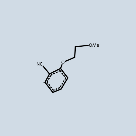 COCCOc1ccc[c]c1C#N